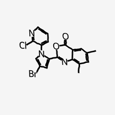 Cc1cc(C)c2nc(-c3cc(Br)cn3-c3cccnc3Cl)oc(=O)c2c1